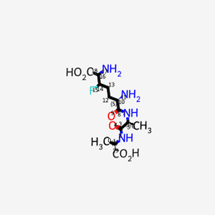 C[C@H](NC(=O)[C@H](C)NC(=O)[C@@H](N)CCC(F)C(N)C(=O)O)C(=O)O